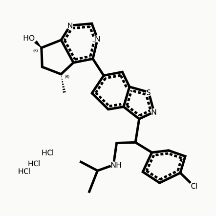 CC(C)NCC(c1ccc(Cl)cc1)c1nsc2cc(-c3ncnc4c3[C@H](C)C[C@H]4O)ccc12.Cl.Cl.Cl